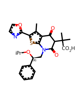 Cc1c(-c2ncco2)sc2c1C(=O)C(C(C)(C)C(=O)O)C(=O)N2C[C@H](OC(C)C)c1ccccc1